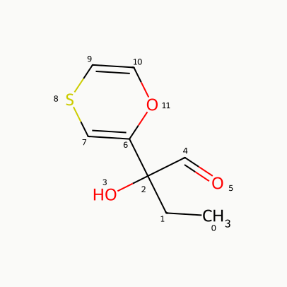 CCC(O)(C=O)C1=CSC=CO1